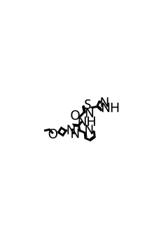 CCOC1CC(n2cc(NC(=O)c3csc(-c4cn[nH]c4)n3)c(-c3ccccn3)n2)C1